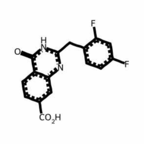 O=C(O)c1ccc2c(=O)[nH]c(Cc3ccc(F)cc3F)nc2c1